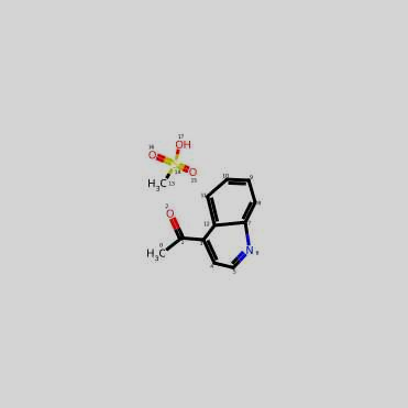 CC(=O)c1ccnc2ccccc12.CS(=O)(=O)O